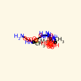 CSSC(C)c1ccc(NC(=O)COCCOCCN)cc1C(=O)OCCCCC(=O)NCC#Cc1cn([C@H]2CC(OC(=O)c3ccccc3C(C)N=[N+]=[N-])[C@@H](COP(=O)(O)OP(=O)(O)OP(=O)(O)O)O2)c(=O)nc1N